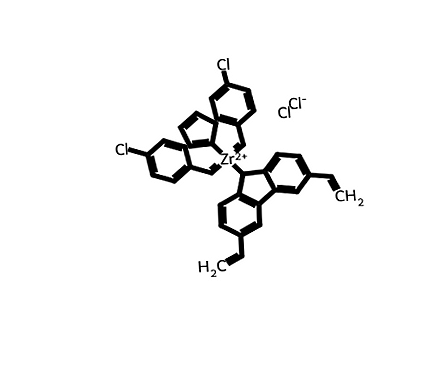 C=Cc1ccc2c(c1)-c1cc(C=C)ccc1[CH]2[Zr+2](=[CH]c1ccc(Cl)cc1)(=[CH]c1ccc(Cl)cc1)[C]1=CC=CC1.[Cl-].[Cl-]